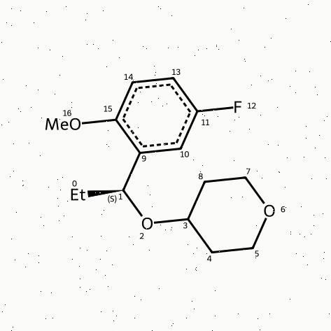 CC[C@H](OC1CCOCC1)c1cc(F)ccc1OC